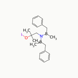 CB(Cc1ccccc1)N(CC(C)(C)OI)B(C)Cc1ccccc1